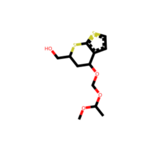 COC(C)OCOC1CC(CO)Sc2sccc21